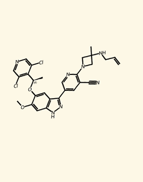 C=CCNC1(C)CN(c2ncc(-c3n[nH]c4cc(OC)c(O[C@H](C)c5c(Cl)cncc5Cl)cc34)cc2C#N)C1